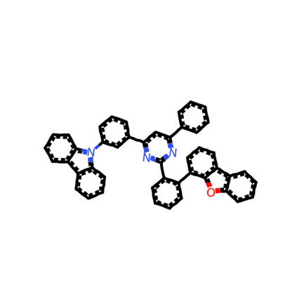 c1ccc(-c2cc(-c3cccc(-n4c5ccccc5c5ccccc54)c3)nc(-c3ccccc3-c3cccc4c3oc3ccccc34)n2)cc1